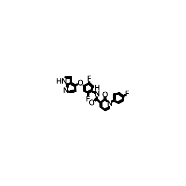 O=C(Nc1cc(F)c(Oc2ccnc3[nH]ccc23)cc1F)c1cccn(-c2ccc(F)cc2)c1=O